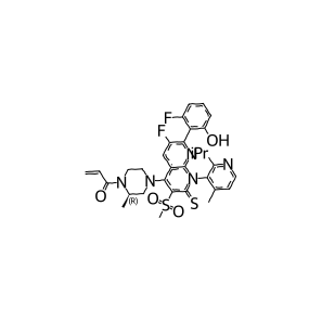 C=CC(=O)N1CCN(c2c(S(C)(=O)=O)c(=S)n(-c3c(C)ccnc3C(C)C)c3nc(-c4c(O)cccc4F)c(F)cc23)C[C@H]1C